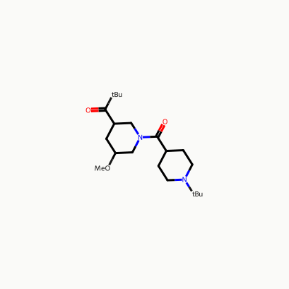 COC1CC(C(=O)C(C)(C)C)CN(C(=O)C2CCN(C(C)(C)C)CC2)C1